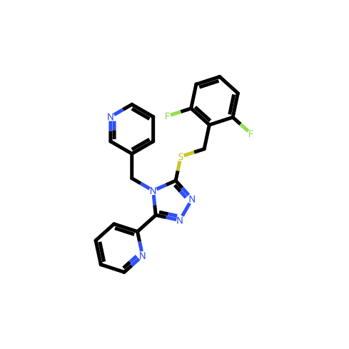 Fc1cccc(F)c1CSc1nnc(-c2ccccn2)n1Cc1cccnc1